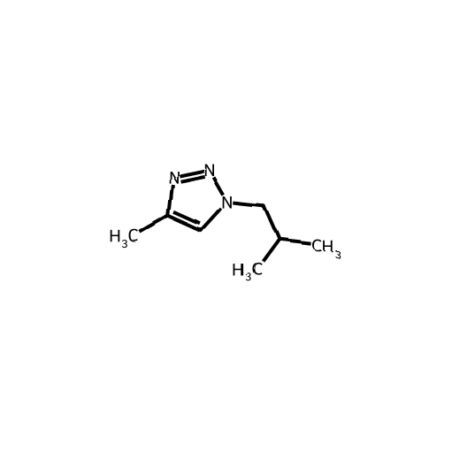 Cc1cn(CC(C)C)nn1